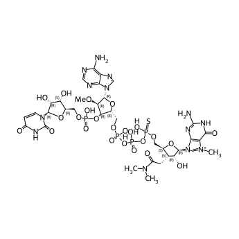 CO[C@@H]1[C@H](OP(=O)(O)OC[C@H]2O[C@@H](n3ccc(=O)[nH]c3=O)[C@H](O)[C@@H]2O)[C@@H](COP(=O)(O)OP(=O)(O)OP(O)(=S)OC[C@H]2O[C@@H](n3c[n+](C)c4c(=O)[nH]c(N)nc43)[C@H](O)[C@@H]2CC(=O)N(C)C)O[C@H]1n1cnc2c(N)ncnc21